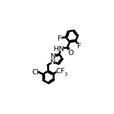 O=C(Nc1ccn(Cc2c(Cl)cccc2C(F)(F)F)n1)c1c(F)cccc1F